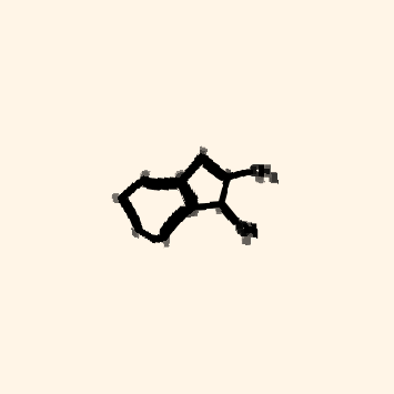 CC1=Cc2ccccc2C1O